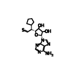 Nc1ncnc2c1ncn2[C@@H]1O[C@H](C(C=S)C2CCCC2)[C@@H](O)[C@H]1O